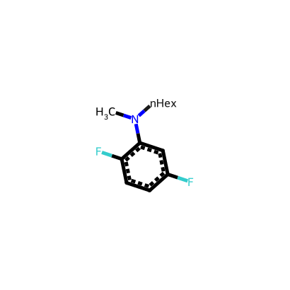 CCCCCCN(C)c1cc(F)ccc1F